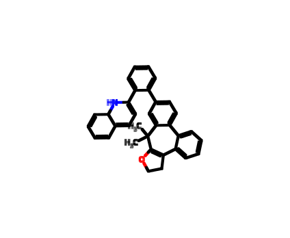 CC1(C)C2=C(CCO2)c2ccccc2-c2ccc(-c3ccccc3C3=CC=C4C=CC=CC4N3)cc21